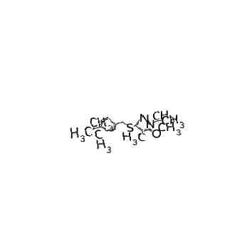 Cc1c(SCc2ccc(C(C)(C)C)cc2)cnn(C(C)(C)C)c1=O